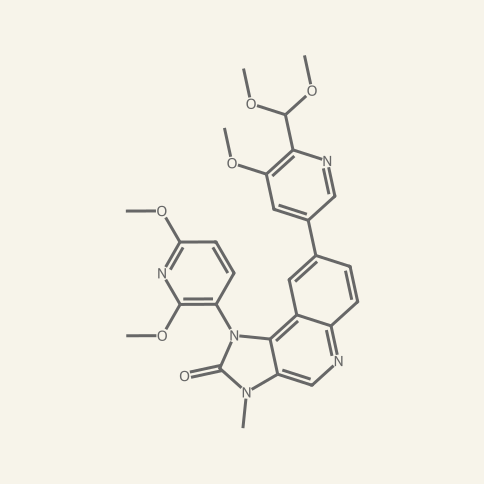 COc1ccc(-n2c(=O)n(C)c3cnc4ccc(-c5cnc(C(OC)OC)c(OC)c5)cc4c32)c(OC)n1